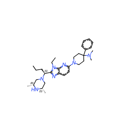 CCC[C@@H](c1nc2ccc(N3CCC(c4ccccc4)(N(C)C)CC3)nc2n1CC)N1C[C@@H](C)N[C@@H](C)C1